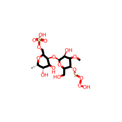 COC1[C@H](OSOOO)C(CO)O[C@@H](O[C@@H]2C(COS(=O)(=O)O)O[C@@H](C)[C@@H](O)C2O)[C@H]1O